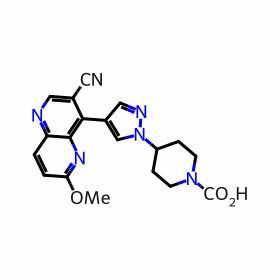 COc1ccc2ncc(C#N)c(-c3cnn(C4CCN(C(=O)O)CC4)c3)c2n1